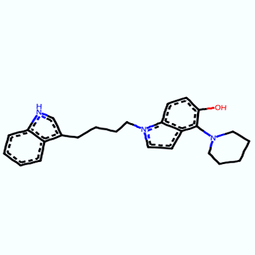 Oc1ccc2c(ccn2CCCCc2c[nH]c3ccccc23)c1N1CCCCC1